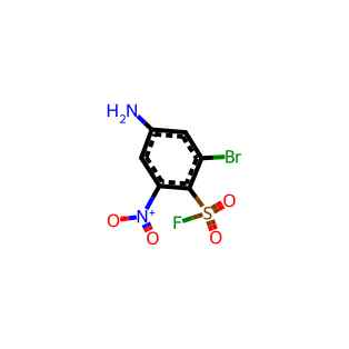 Nc1cc(Br)c(S(=O)(=O)F)c([N+](=O)[O-])c1